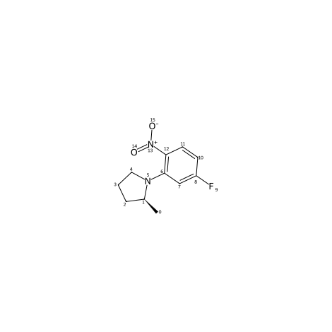 C[C@H]1CCCN1c1cc(F)ccc1[N+](=O)[O-]